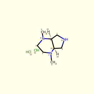 CN1CCN(C)[C@H]2CNC[C@H]21.Cl.Cl